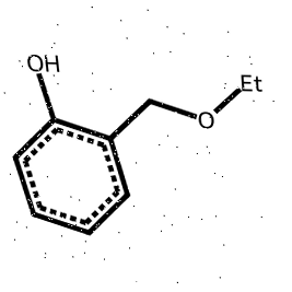 [CH2]COCc1ccccc1O